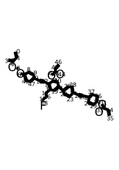 C=CC(=C)OCOc1ccc(C#Cc2c(CCCF)cc(-c3ccc(C#Cc4ccc(OC(=O)C=C)cc4)cc3)cc2OC(=O)C=C)cc1